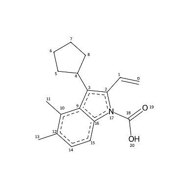 C=Cc1c(C2CCCC2)c2c(C)c(C)ccc2n1C(=O)O